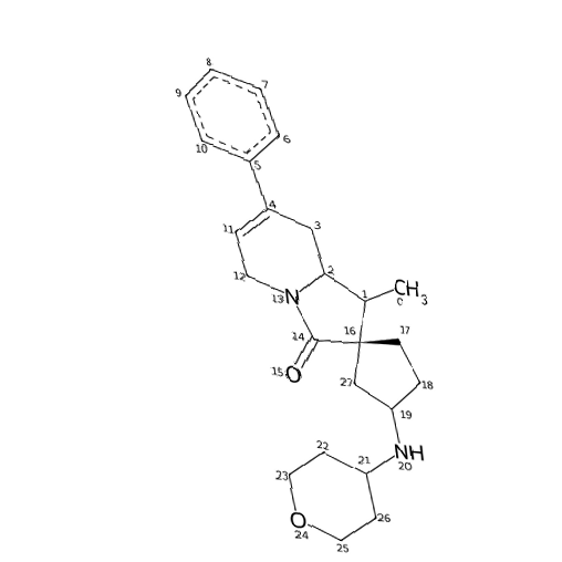 CC1C2CC(c3ccccc3)=CCN2C(=O)[C@]12CCC(NC1CCOCC1)C2